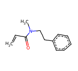 C=CC(=O)N(C)CCc1ccccc1